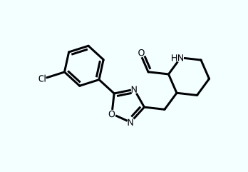 O=CC1NCCCC1Cc1noc(-c2cccc(Cl)c2)n1